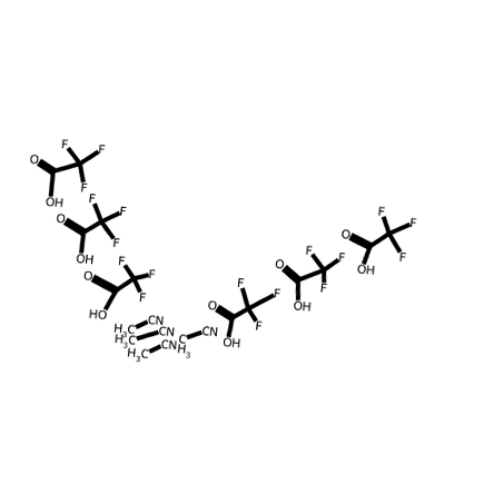 CC#N.CC#N.CC#N.CC#N.O=C(O)C(F)(F)F.O=C(O)C(F)(F)F.O=C(O)C(F)(F)F.O=C(O)C(F)(F)F.O=C(O)C(F)(F)F.O=C(O)C(F)(F)F